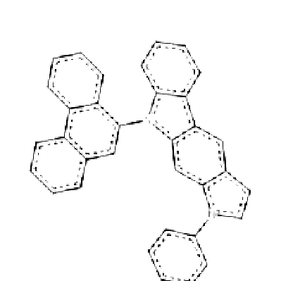 c1ccc(-n2ccc3cc4c5ccccc5n(-c5cc6ccccc6c6ccccc56)c4cc32)cc1